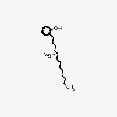 CCCCCCCCCCCCCc1ccccc1O.[MgH2]